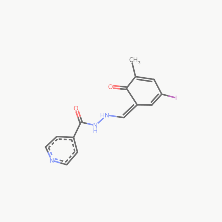 CC1=CC(I)=CC(=CNNC(=O)c2ccncc2)C1=O